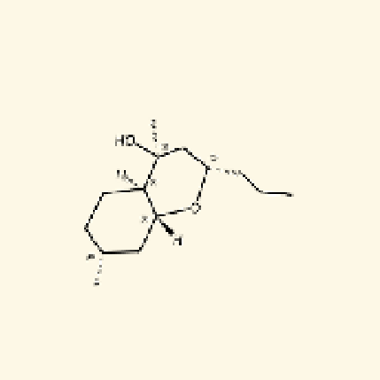 CCC[C@H]1C[C@](C)(O)[C@@H]2CC[C@@H](C)C[C@H]2O1